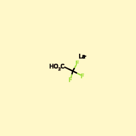 O=C(O)C(F)(F)F.[La]